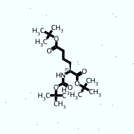 CC(C)(C)OC(=O)CCC[C@H](NC(=O)OC(C)(C)C)C(=O)OC(C)(C)C